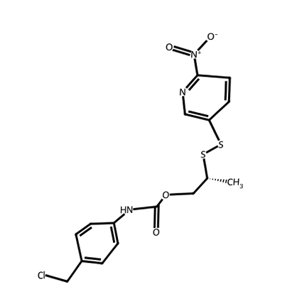 C[C@H](COC(=O)Nc1ccc(CCl)cc1)SSc1ccc([N+](=O)[O-])nc1